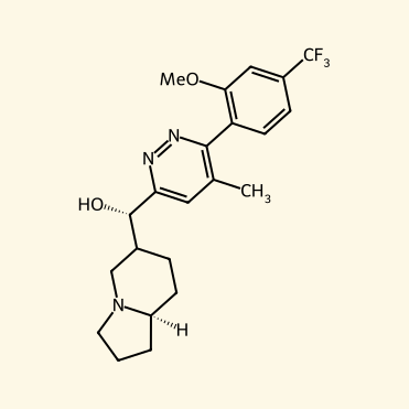 COc1cc(C(F)(F)F)ccc1-c1nnc([C@@H](O)C2CC[C@H]3CCCN3C2)cc1C